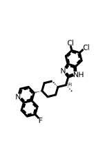 C[C@@H](c1nc2cc(Cl)c(Cl)cc2[nH]1)[C@H]1CC[C@@H](c2ccnc3ccc(F)cc32)CC1